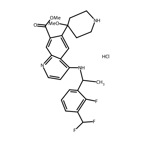 COC(=O)c1cc2nccc(NC(C)c3cccc(C(F)F)c3F)c2cc1C1(OC)CCNCC1.Cl